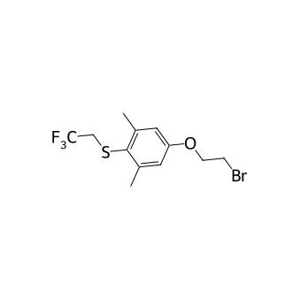 Cc1cc(OCCBr)cc(C)c1SCC(F)(F)F